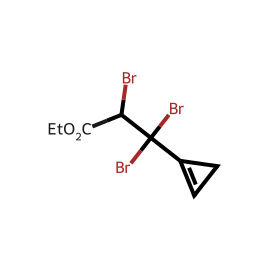 CCOC(=O)C(Br)C(Br)(Br)C1=CC1